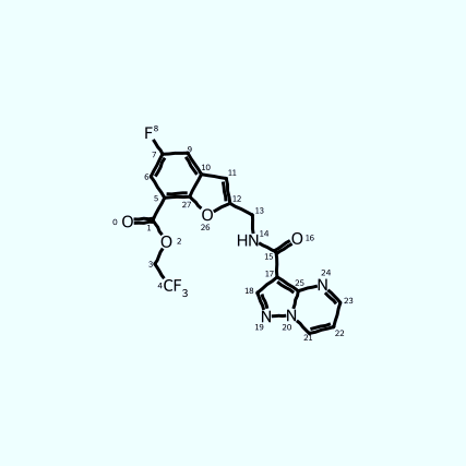 O=C(OCC(F)(F)F)c1cc(F)cc2cc(CNC(=O)c3cnn4cccnc34)oc12